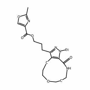 CCn1nc(CCCOC(=O)c2coc(C)n2)c2c1C(=O)NCCCOCCC2